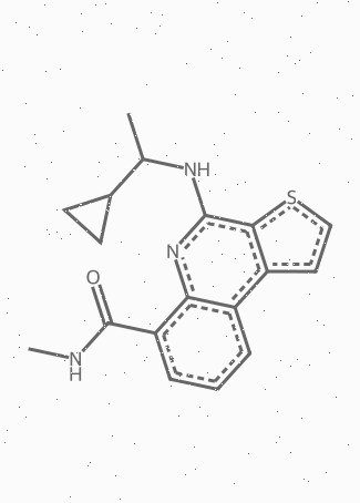 CNC(=O)c1cccc2c1nc(NC(C)C1CC1)c1sccc12